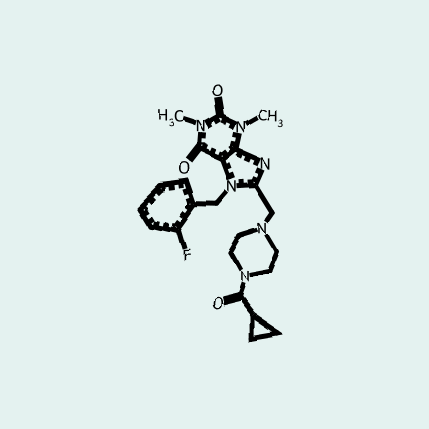 Cn1c(=O)c2c(nc(CN3CCN(C(=O)C4CC4)CC3)n2Cc2ccccc2F)n(C)c1=O